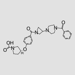 O=C(O)N1CC[C@@H](Oc2ccc(C(=O)N3CC(N4CCN(C(=O)c5ccccc5)CC4)C3)cc2)C1